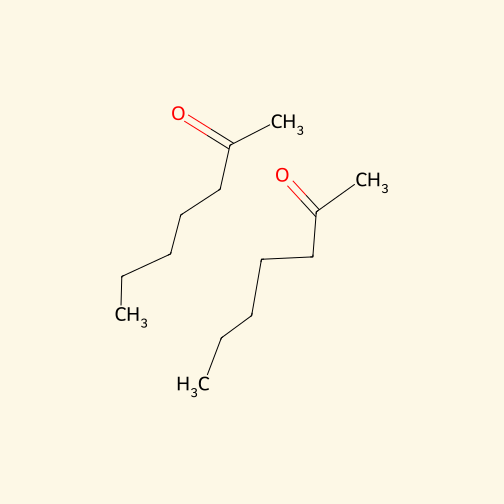 CCCCCC(C)=O.CCCCCC(C)=O